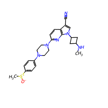 CNC1CC(n2cc(C#N)c3ccc(N4CCN(c5ccc([S+](C)[O-])cc5)CC4)nc32)C1